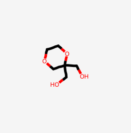 OCC1(CO)COCCO1